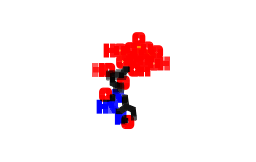 O=C1NC2=NOCCC2=CN1[C@@H]1C[C@H](O)[C@@H](C(O)OP(=O)(O)OP(=O)(O)OP(=O)(O)O)O1